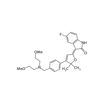 COCCN(CCOC)Cc1ccc(C2=CC(=C3C(=O)Nc4ccc(F)cc43)OC2(C)C)cc1